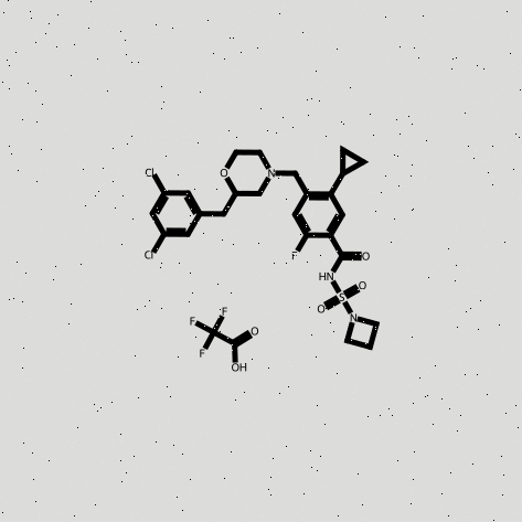 O=C(NS(=O)(=O)N1CCC1)c1cc(C2CC2)c(CN2CCOC(Cc3cc(Cl)cc(Cl)c3)C2)cc1F.O=C(O)C(F)(F)F